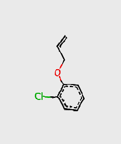 C=CCOc1ccccc1Cl